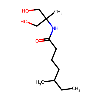 CCC(C)CCCC(=O)NC(C)(CO)CO